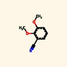 COc1cc[c]c(C#N)c1OC